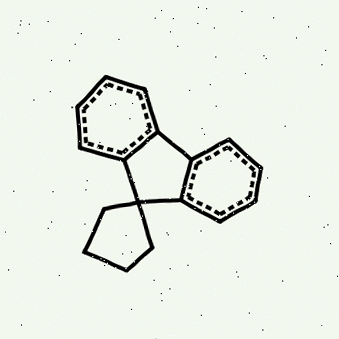 [c]1ccc2c(c1)C1(CCCC1)c1ccccc1-2